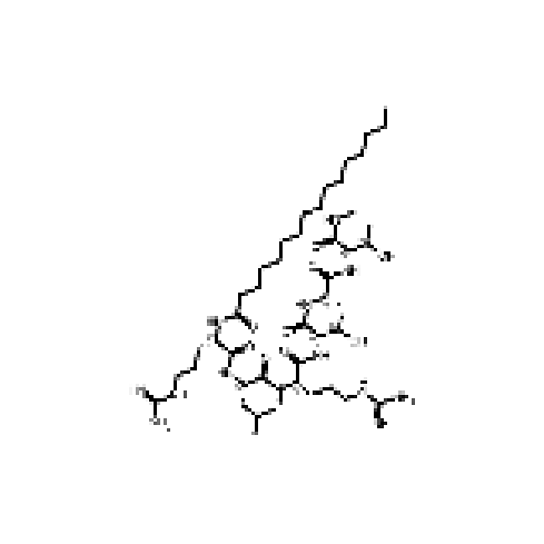 CCCCCCCCCCCCCCCC(=O)N[C@@H](CCCNC(=N)N)C(=O)N[C@@H](CC(C)C)C(=O)N[C@@H](CCCNC(=N)N)C(=O)N[C@H](C(=O)N[C@@H](C)C(=O)N[C@H](C(=O)NC)[C@@H](C)O)[C@@H](C)O